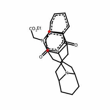 CCOC(=O)Cn1c(=O)n(C2CC3CCCC(C2)N3C2CC3CCCC(C3)C2)c(=O)c2ccccc21